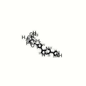 CC(C)(O)C(NC(=O)c1cc(-c2cnn3cc(-c4cn[nH]c4)cnc23)cs1)C(F)(F)F